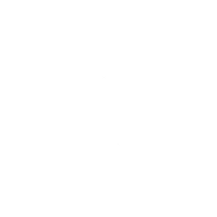 ClCC(Cl)C1CCCO1